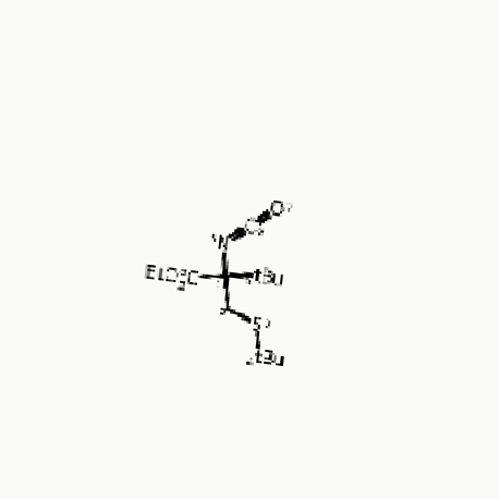 CCOC(=O)C(CSC(C)(C)C)(N=C=O)C(C)(C)C